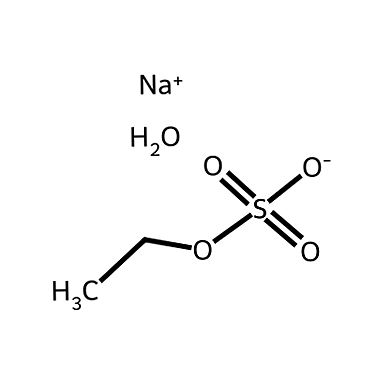 CCOS(=O)(=O)[O-].O.[Na+]